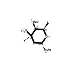 CO[C@@H]1C[C@@](C)(N)[C@@H](OC)[C@@H](C)O1